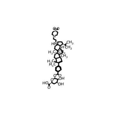 C=C(C)[C@@H]1CC[C@]2(NCCN3CCS(=O)(=O)CC3)CC[C@]3(C)[C@H](CCC4[C@@]5(C)CC=C(c6ccc(C(=O)O[C@@H]7O[C@H](C(=O)O)C[C@H](O)C7O)cc6)C(C)(C)C5CC[C@]43C)C12